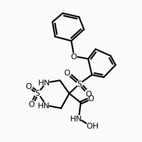 O=C(NO)C1(S(=O)(=O)c2ccccc2Oc2ccccc2)CNS(=O)(=O)NC1